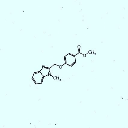 COC(=O)c1ccc(OCc2nc3ccccc3n2C)cc1